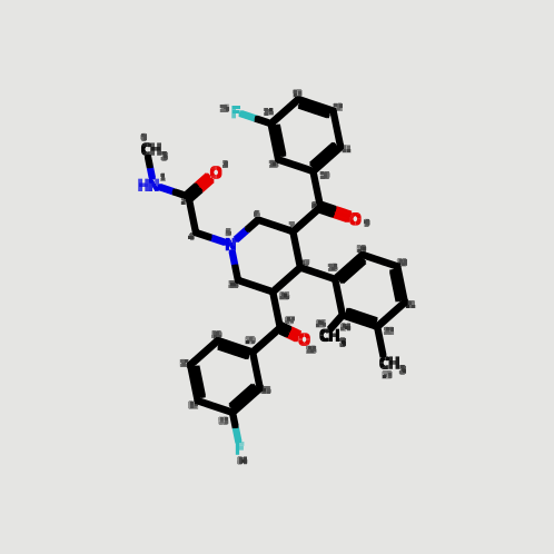 CNC(=O)CN1CC(C(=O)c2cccc(F)c2)C(c2cccc(C)c2C)C(C(=O)c2cccc(F)c2)C1